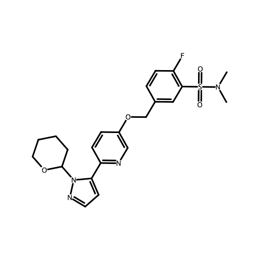 CN(C)S(=O)(=O)c1cc(COc2ccc(-c3ccnn3C3CCCCO3)nc2)ccc1F